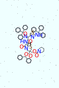 O=C(NC1C(=O)N2CC(COC(=O)N3CCCCC3)(C(=O)OC(c3ccccc3)c3ccccc3)CS[C@H]12)C(=NOC(c1ccccc1)(c1ccccc1)c1ccccc1)c1csc(NC(c2ccccc2)(c2ccccc2)c2ccccc2)n1